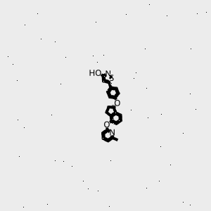 Cc1cccc(Oc2cccc3c2CC[C@H]3Oc2ccc(-c3cc(O)ns3)cc2)n1